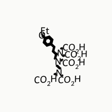 CCOc1ccc(CCC(CN(CCN(CC(=O)O)CC(=O)O)CC(=O)O)N(CC(=O)O)CC(=O)O)cc1